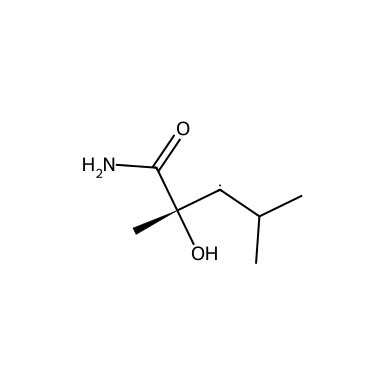 CC(C)[CH][C@](C)(O)C(N)=O